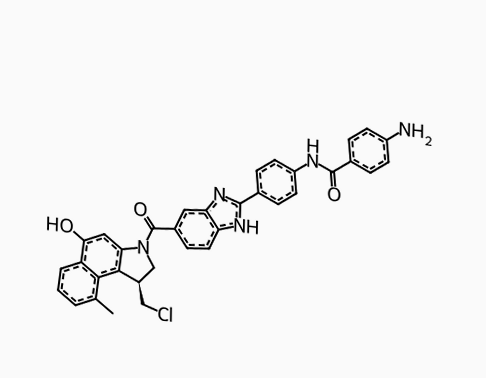 Cc1cccc2c(O)cc3c(c12)[C@H](CCl)CN3C(=O)c1ccc2[nH]c(-c3ccc(NC(=O)c4ccc(N)cc4)cc3)nc2c1